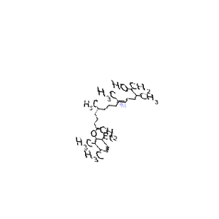 C=C(CCCC(C)CCC/C(C)=C/CCC(C)C(=C)O)OC1C(CC)C=CC(C)C1C